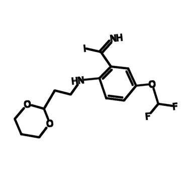 N=C(I)c1cc(OC(F)F)ccc1NCCC1OCCCO1